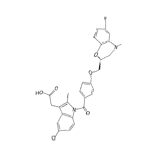 Cc1c(CC(=O)O)c2cc(Cl)ccc2n1C(=O)c1ccc(OC[C@@H]2CN(C)c3cc(F)ccc3O2)cc1